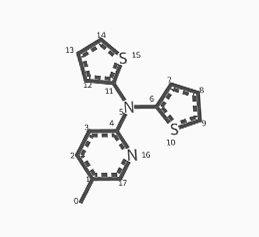 Cc1ccc(N(c2cccs2)c2cccs2)nc1